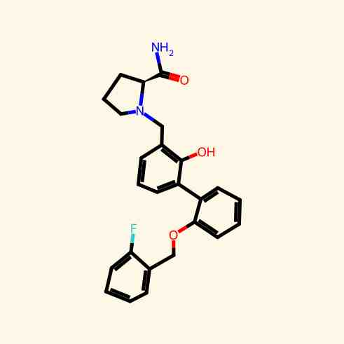 NC(=O)[C@@H]1CCCN1Cc1cccc(-c2ccccc2OCc2ccccc2F)c1O